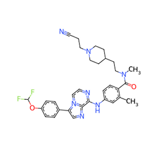 Cc1cc(Nc2nccn3c(-c4ccc(OC(F)F)cc4)cnc23)ccc1C(=O)N(C)CCC1CCN(CCC#N)CC1